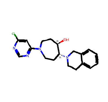 O[C@@H]1CCN(c2cc(Cl)ncn2)CC[C@H]1N1CCc2ccccc2C1